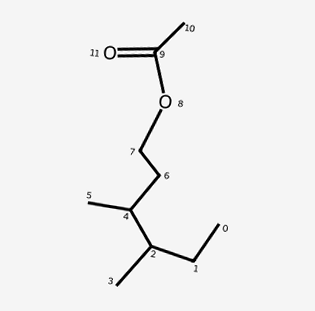 CCC(C)C(C)CCOC(C)=O